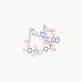 CCCCCOC(=O)COc1cc(N2C(=O)C3=C(CCCC3)C2=O)c(F)cc1Cl.COc1nc(C)nc(NC(=O)NS(=O)(=O)c2ccccc2C(=O)O)n1.O=C(O)COc1ccc(Cl)c2cccnc12